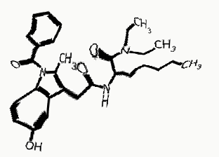 CCCCCC(NC(=O)Cc1c(C)n(C(=O)c2ccccc2)c2ccc(O)cc12)C(=O)N(CC)CC